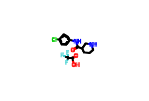 O=C(Nc1ccc(Cl)cc1)C1CCCNC1.O=C(O)C(F)(F)F